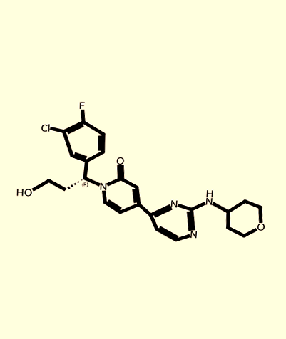 O=c1cc(-c2ccnc(NC3CCOCC3)n2)ccn1[C@H](CCO)c1ccc(F)c(Cl)c1